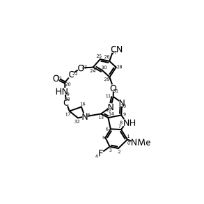 CNc1cc(F)cc2c1[nH]c1nc3nc(c12)N1CC(CNC(=O)COc2cc(C#N)cc(c2)O3)C1